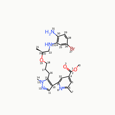 COC(=O)c1cc(C)nc(-c2cnn(C)c2CCCO[C@@H](C)CNc2cc(Br)ccc2N)c1